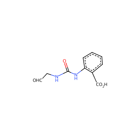 O=CCNC(=O)Nc1ccccc1C(=O)O